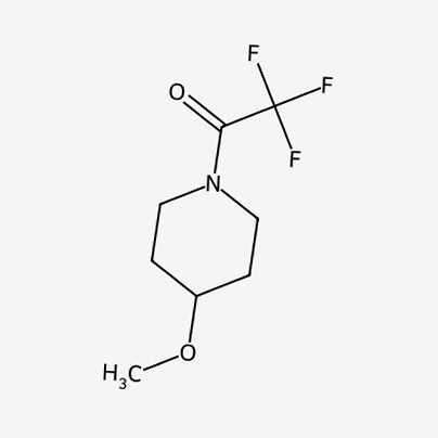 COC1CCN(C(=O)C(F)(F)F)CC1